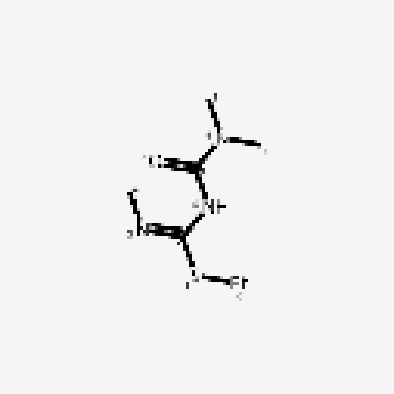 CCSC(=NC)NC(=O)N(C)C